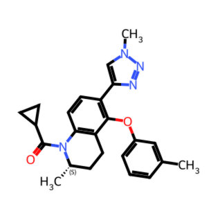 Cc1cccc(Oc2c(-c3cn(C)nn3)ccc3c2CC[C@H](C)N3C(=O)C2CC2)c1